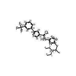 CCN(CC)C(C)Cc1nsc(NC(=O)c2csc(-c3cccc(C(F)(F)F)c3)c2)n1